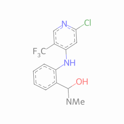 CNC(O)c1ccccc1Nc1cc(Cl)ncc1C(F)(F)F